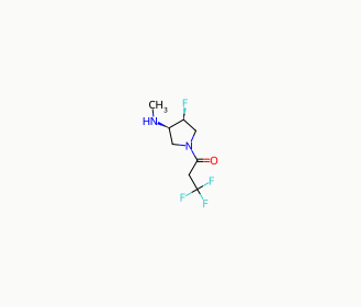 CN[C@@H]1CN(C(=O)CC(F)(F)F)C[C@@H]1F